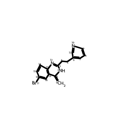 C=C1NC(CCc2cccnc2)=Nc2ccc(Br)cc21